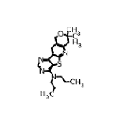 CCCN(CCC)c1ncnc2c1sc1nc3c(cc12)COC(C)(C)C3